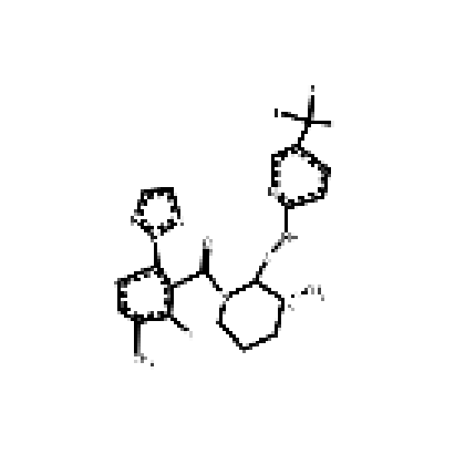 Cc1ccc(-n2nccn2)c(C(=O)N2CCC[C@@H](C)C2CNc2ccc(C(F)(F)F)cn2)c1F